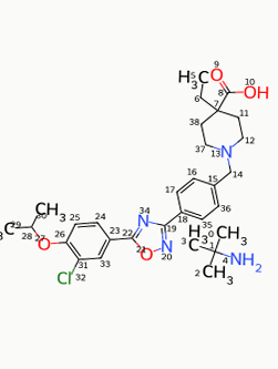 CC(C)(C)N.CCC1(C(=O)O)CCN(Cc2ccc(-c3noc(-c4ccc(OC(C)C)c(Cl)c4)n3)cc2)CC1